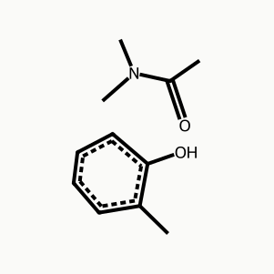 CC(=O)N(C)C.Cc1ccccc1O